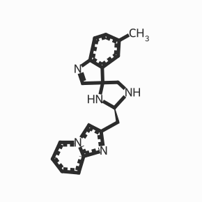 Cc1ccc2c(c1)C1(C=N2)CN[C@@H](Cc2cn3ccccc3n2)N1